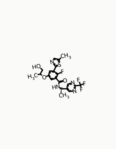 Cc1cnc(-c2cc(OC(C)CO)cc(C(=O)N[C@H](C)c3cnc(C(F)(F)F)nc3)c2F)s1